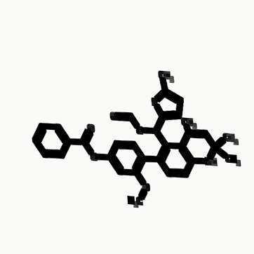 COc1cc(OC(=O)c2ccccc2)ccc1-c1ccc2c(c1C(OC=O)c1ccc(C)s1)C(C)=CC(C)(C)N2